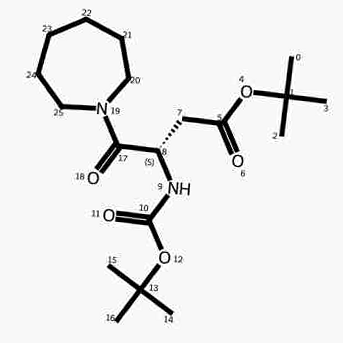 CC(C)(C)OC(=O)C[C@H](NC(=O)OC(C)(C)C)C(=O)N1CCCCCC1